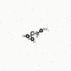 FC(F)(F)Oc1ccc(-c2n[nH]c(N3CCC[C@@H](N4c5ccc(Cl)cc5Oc5cc(Cl)ccc54)C3)n2)cc1